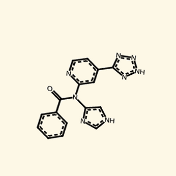 O=C(c1ccccc1)N(c1c[nH]cn1)c1cc(-c2nn[nH]n2)ccn1